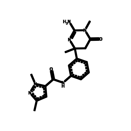 Cc1cc(C(=O)Nc2cccc(C3(C)CC(=O)N(C)C(N)=N3)c2)n(C)n1